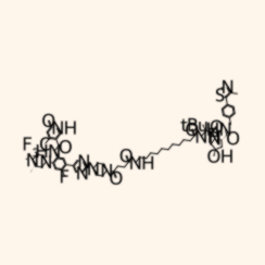 Cc1ncsc1-c1ccc(CNC(=O)[C@@H]2C[C@@H](O)CN2C(=O)[C@@H](NC(=O)CCCCCCCCCCNC(=O)CCC(=O)N2CCN(c3ncc(-c4cc(NC(=O)c5c[nH]c(=O)cc5C(F)(F)F)c(N5C[C@@H](C)N(C)[C@@H](C)C5)cc4F)cn3)CC2)C(C)(C)C)cc1